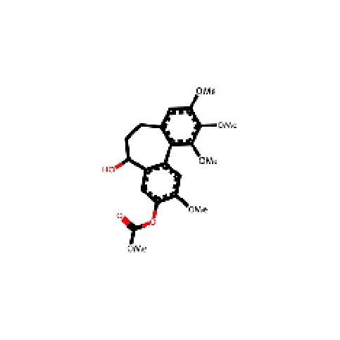 COC(=O)Oc1cc2c(cc1OC)-c1c(cc(OC)c(OC)c1OC)CCC2O